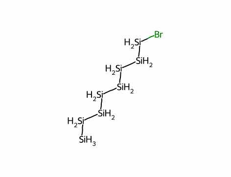 [SiH3][SiH2][SiH2][SiH2][SiH2][SiH2][SiH2][SiH2]Br